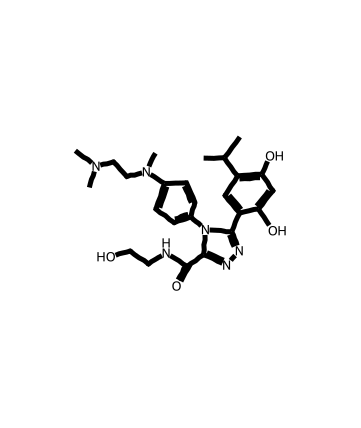 CC(C)c1cc(-c2nnc(C(=O)NCCO)n2-c2ccc(N(C)CCN(C)C)cc2)c(O)cc1O